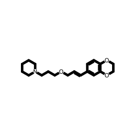 C(=Cc1ccc2c(c1)OCCO2)COCCCN1CCCCC1